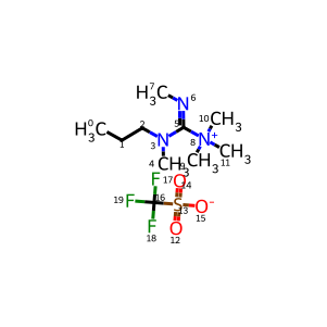 CCCN(C)/C(=N\C)[N+](C)(C)C.O=S(=O)([O-])C(F)(F)F